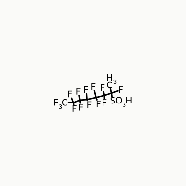 CC(F)(C(F)(F)C(F)(F)C(F)(F)C(F)(F)C(F)(F)C(F)(F)F)S(=O)(=O)O